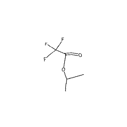 CC(C)OC(=O)C(F)(F)F